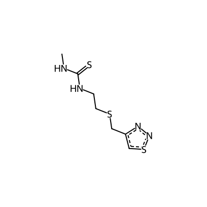 CNC(=S)NCCSCc1csnn1